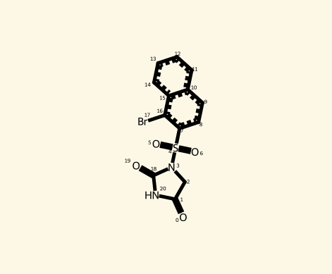 O=C1CN(S(=O)(=O)c2ccc3ccccc3c2Br)C(=O)N1